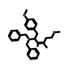 COCCC(C)=C(C)C(Cc1ccc(OC)cc1)N(Cc1ccccc1)Cc1ccccc1